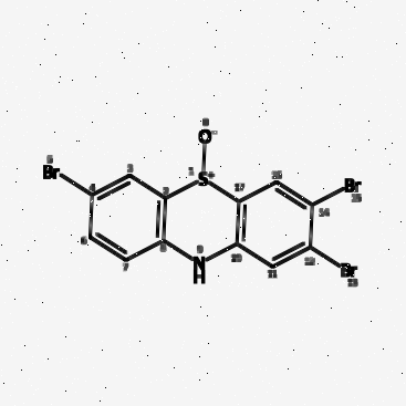 [O-][S+]1c2cc(Br)ccc2Nc2cc(Br)c(Br)cc21